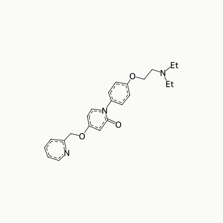 CCN(CC)CCOc1ccc(-n2ccc(OCc3ccccn3)cc2=O)cc1